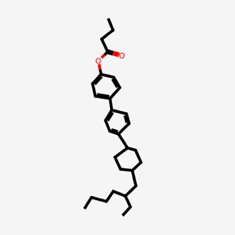 CCCCC(CC)CC1CCC(c2ccc(-c3ccc(OC(=O)CCC)cc3)cc2)CC1